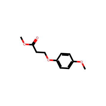 COC(=O)CCOc1ccc(OC)cc1